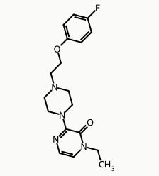 CCn1ccnc(N2CCN(CCOc3ccc(F)cc3)CC2)c1=O